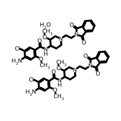 COc1cc(N)c(Cl)cc1C(=O)NC1CCN(CCN2C(=O)c3ccccc3C2=O)CC1OC.COc1cc(N)c(Cl)cc1C(=O)NC1CCN(CCN2C(=O)c3ccccc3C2=O)CC1OC.O